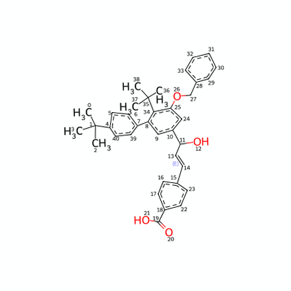 CC(C)(C)c1ccc(-c2cc(C(O)/C=C/c3ccc(C(=O)O)cc3)cc(OCc3ccccc3)c2C(C)(C)C)cc1